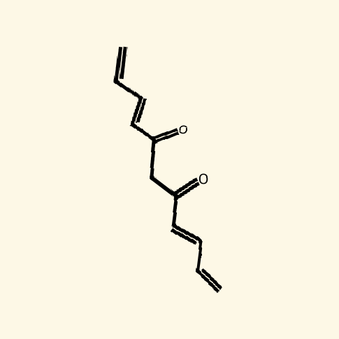 C=CC=CC(=O)CC(=O)C=CC=C